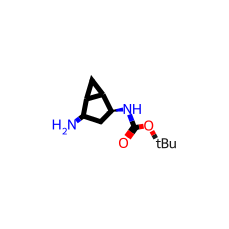 CC(C)(C)OC(=O)N[C@H]1CC(N)C2CC21